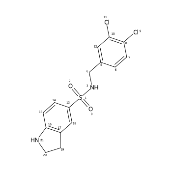 O=S(=O)(NCc1ccc(Cl)c(Cl)c1)c1ccc2c(c1)CCN2